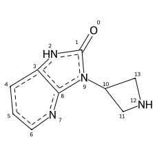 O=c1[nH]c2cccnc2n1C1CNC1